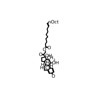 CCCCCCCC/C=C/CCCCCCCC(=O)OCC(=O)[C@@]1(O)CC[C@H]2[C@@H]3CCC4=CC(=O)C=C[C@]4(C)[C@H]3C(O)C[C@@]21C